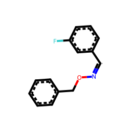 Fc1cccc(/[C]=N\OCc2ccccc2)c1